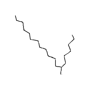 [CH2]C(CCCCCC)CCCCCCCCCCCC